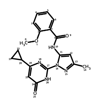 COc1ccccc1C(=O)Nc1cc(C)nn1-c1nc(C2CC2)cc(=O)[nH]1